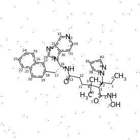 CCC([C@@H](C(=O)NO)C(C)(C)CCC(=O)N[C@H](Cc1ccc2ccccc2c1)n1cnc2cnccc21)n1cccn1